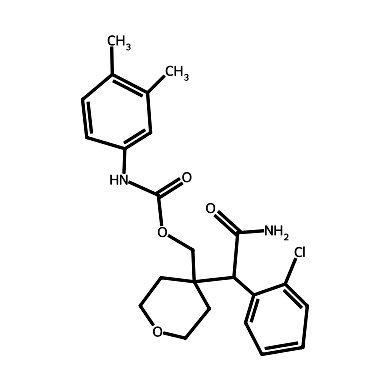 Cc1ccc(NC(=O)OCC2(C(C(N)=O)c3ccccc3Cl)CCOCC2)cc1C